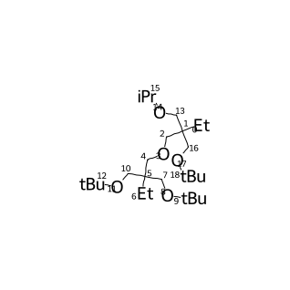 CCC(COCC(CC)(COC(C)(C)C)COC(C)(C)C)(COC(C)C)COC(C)(C)C